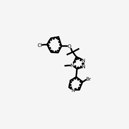 Cn1c(-c2ccncc2Br)nnc1C(C)(C)Oc1ccc(Cl)cc1